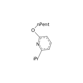 CCCCCOc1cccc(C(C)C)n1